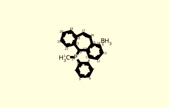 B.CP(c1ccccc1)C1c2ccccc2C=Cc2ccccc21